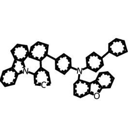 c1ccc(-c2ccc(N(c3ccc(-c4ccccc4-c4ccccc4-n4c5ccccc5c5ccccc54)cc3)c3cccc4oc5ccccc5c34)cc2)cc1